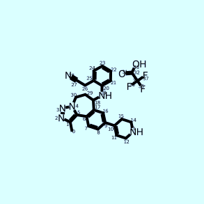 Cc1nnn2c1-c1ccc(C3=CCNCC3)cc1C(Nc1ccccc1CC#N)CC2.O=C(O)C(F)(F)F